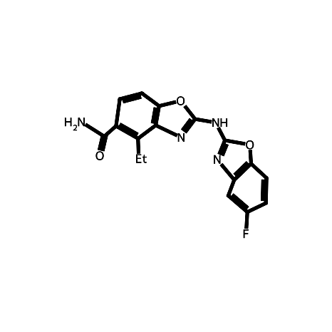 CCc1c(C(N)=O)ccc2oc(Nc3nc4cc(F)ccc4o3)nc12